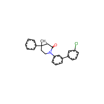 CC1(c2ccccc2)CCN(c2cccc(-c3cccc(Cl)c3)c2)C(=O)C1